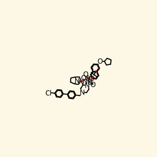 CC(C)(C)OC(=O)NC1CC2CCC(C1)N2C(=O)C1CN(Cc2ccc(-c3ccc(Cl)cc3)cc2)CCN1S(=O)(=O)c1ccc2cc(OC3CCCC3)ccc2c1